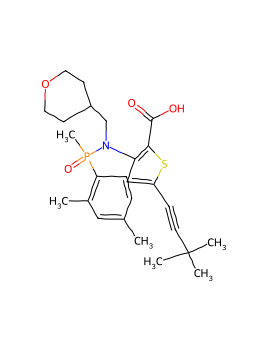 Cc1ccc(P(C)(=O)N(CC2CCOCC2)c2cc(C#CC(C)(C)C)sc2C(=O)O)c(C)c1